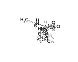 CCCCCCCC(=O)NCCCCC(NC(=O)C(N)Cc1cn(C(c2ccccc2)c2ccccc2)cn1)C(=O)NC(Cc1ccc(C)cc1)C(=O)NC(Cc1c(C)cc(O)cc1C)C(=O)O